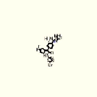 CN(N)/N=C(\N)c1ccc(C(C(=O)Nc2nnc(Br)s2)C2CCC(F)(F)C2)cc1